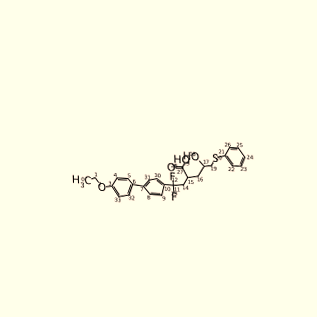 CCOc1ccc(-c2ccc(C(F)(F)CC(CC(O)CSc3ccccc3)C(=O)O)cc2)cc1